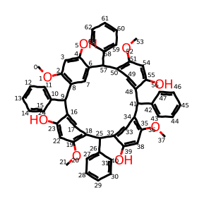 COc1cc(O)c2cc1C(c1ccccc1)c1cc(c(OC)cc1O)C(c1ccccc1)c1cc(c(OC)cc1O)C(c1ccccc1)c1cc(c(OC)cc1O)C2c1ccccc1